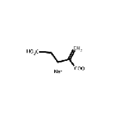 C=C(CCC(=O)O)C(=O)[O-].[Na+]